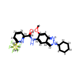 COc1cc2nn(C3CCCCC3)cc2cc1NC(=O)c1cccc(S(F)(F)(F)(F)F)n1